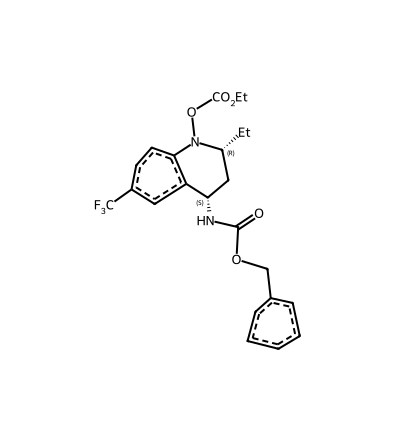 CCOC(=O)ON1c2ccc(C(F)(F)F)cc2[C@@H](NC(=O)OCc2ccccc2)C[C@H]1CC